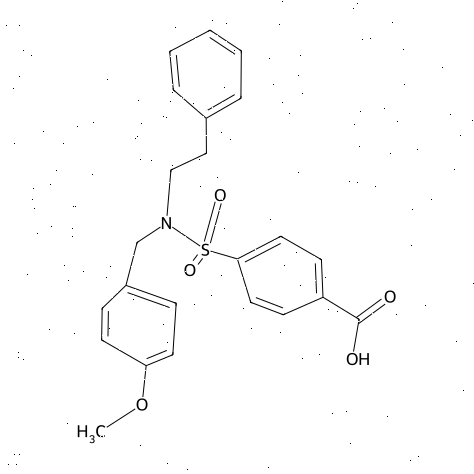 COc1ccc(CN(CCc2ccccc2)S(=O)(=O)c2ccc(C(=O)O)cc2)cc1